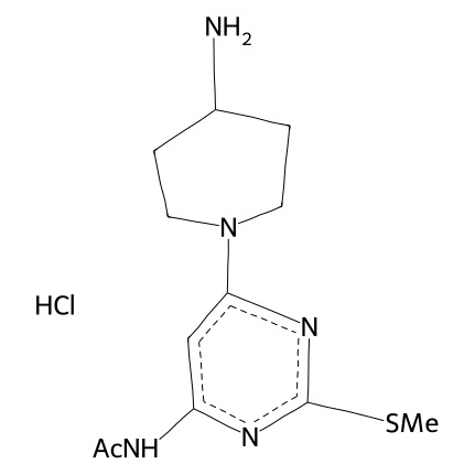 CSc1nc(NC(C)=O)cc(N2CCC(N)CC2)n1.Cl